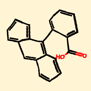 O=C(O)c1ccccc1-c1c2ccccc2cc2ccccc12